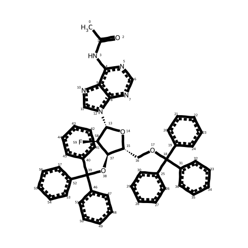 CC(=O)Nc1ncnc2c1ncn2[C@@H]1O[C@H](COC(c2ccccc2)(c2ccccc2)c2ccccc2)[C@@H](OC(c2ccccc2)(c2ccccc2)c2ccccc2)[C@H]1F